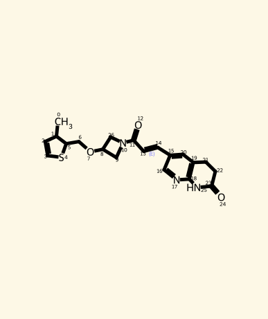 CC1C=CSC1COC1CN(C(=O)/C=C/c2cnc3c(c2)CCC(=O)N3)C1